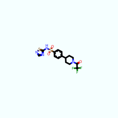 O=C(N1CCC(c2ccc(S(=O)(=O)Nc3ncns3)cc2)CC1)C(F)(F)F